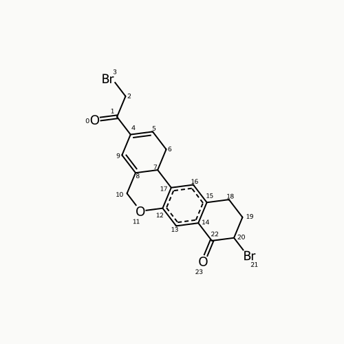 O=C(CBr)C1=CCC2C(=C1)COc1cc3c(cc12)CCC(Br)C3=O